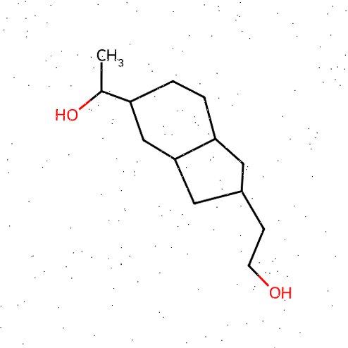 CC(O)C1CCC2CC(CCO)CC2C1